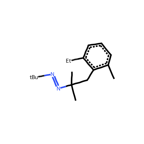 CCc1cccc(C)c1CC(C)(C)N=NC(C)(C)C